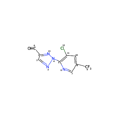 O=Cc1cnn(-c2ncc(C(F)(F)F)cc2Cl)n1